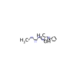 C=C\C=C/C=C\C=C/C=C(/O)C(=C)/C=N/c1ccccc1